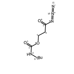 CC(C)(C)NC(=O)OCCC(=O)N=[N+]=[N-]